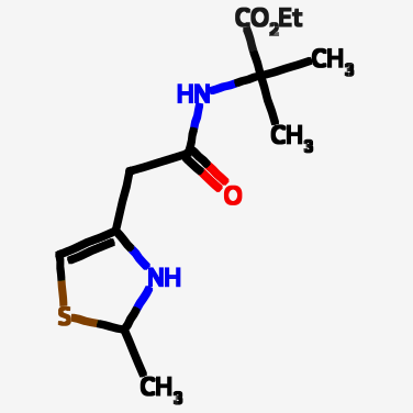 CCOC(=O)C(C)(C)NC(=O)CC1=CSC(C)N1